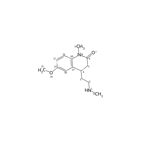 CNCCC1CC(=O)N(C)c2ccc(OC)cc21